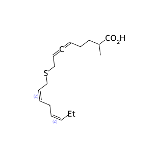 CC/C=C\C/C=C\CSCC=C=CCCC(C)C(=O)O